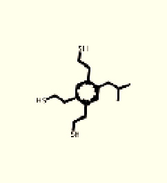 CC(C)Cc1cc(CCS)c(CCS)cc1CCS